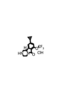 Cl.O=C1c2c(OC(F)(F)F)cc(C3CC3)cc2[C@H]2CNCCN12